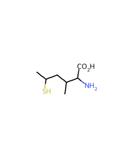 CC(S)CC(C)C(N)C(=O)O